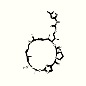 CC1=C\[C@@H](O)C[C@@H](F)Cc2nc(co2)C(=O)N2CCC[C@@H]2C(=O)O[C@H]([C@H](C)COC(=O)Nc2cc(C)on2)[C@H](C)/C=C/C(=O)NC\C=C\1